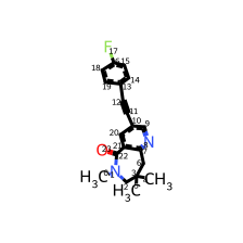 CN1CC(C)(C)Cc2ncc(C#Cc3ccc(F)cc3)cc2C1=O